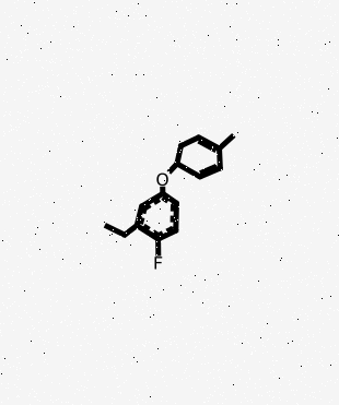 CCc1cc(OC2C=CC(C)=CC2)ccc1F